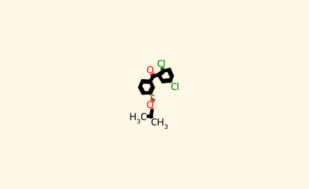 CC(C)COSc1cccc(C(=O)c2cc(Cl)ccc2Cl)c1